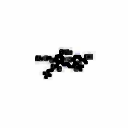 COCOc1cc(OC)cc(/C=C/C[C@@H]2OC(C)(C)O[C@@H]2C(O)/C=C\CC(C)O)c1C(=O)OCC[Si](C)(C)C